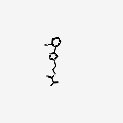 C=C(C)C(=O)OCCn1cc(-c2ccccc2O)nn1